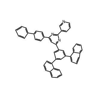 c1ccc(-c2ccc(-c3cc(-c4cc(-c5cccc6ccccc56)cc(-c5cccc6ccccc56)c4)nc(-c4cccnc4)n3)cc2)cc1